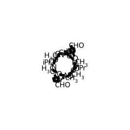 CC(C)C[C@H]1C(=O)O[C@H](Cc2ccc(C=O)cc2)C(=O)N(C)[C@@H](CC(C)C)C(=O)O[C@H](C)C(=O)N(C)[C@@H](CC(C)C)C(=O)O[C@H](Cc2ccc(C=O)cc2)C(=O)N(C)[C@@H](CC(C)C)C(=O)OC(C)C(=O)N1C